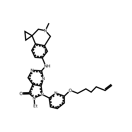 C=CCCCCOc1cccc(-n2c3nc(Nc4ccc5c(c4)CN(C)CC54CC4)ncc3c(=O)n2CC)n1